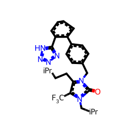 CC(C)CCc1c(C(F)(F)F)n(CC(C)C)c(=O)n1Cc1ccc(-c2ccccc2-c2nnn[nH]2)cc1